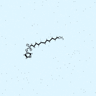 CCCCCCCCCCCCS(=O)(=O)On1ccnc1